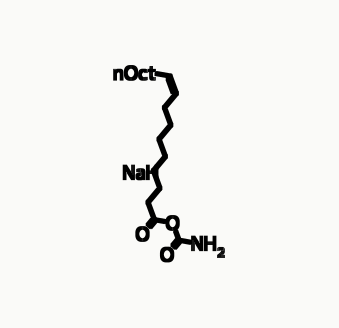 CCCCCCCC/C=C\CCCCCCCC(=O)OC(N)=O.[NaH]